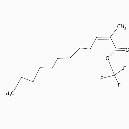 CCCCCCCCCC=C(C)C(=O)OC(F)(F)F